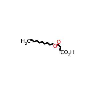 C=CCCCCCCCCOC(=O)CCC(=O)O